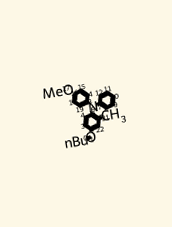 CCCCOc1ccc(N(c2ccccc2)c2ccc(OC)cc2)c(C)c1